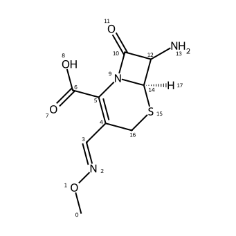 CO/N=C/C1=C(C(=O)O)N2C(=O)C(N)[C@H]2SC1